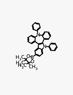 CC1(C)OB(c2ccc3c(c2)c2c(n3-c3ccccc3)-c3ccccc3N(c3ccccc3)c3ccccc3-2)OC1(C)C